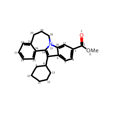 COC(=O)c1ccc2c(C3CCCCC3)c3n(c2c1)CCCc1ccccc1-3